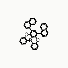 c1ccc2c(c1)Oc1c(-c3cccc4ccccc34)cc(-c3cccc4ccccc34)c3c1B2c1ccccc1O3